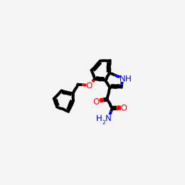 NC(=O)C(=O)c1c[nH]c2cccc(OCc3ccccc3)c12